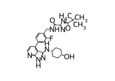 CC(C)(C)c1nc(C(=O)NCc2ccc(-c3ccnc4[nH]nc(N[C@H]5CC[C@H](O)CC5)c34)cc2F)no1